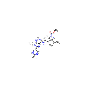 CCn1c(-c2cnc(C)nc2)nc2c(NC3CCc4c(c(C(C)C)nn4C(=O)OC)C3)ncnc21